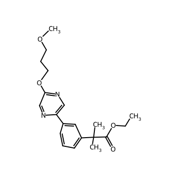 CCOC(=O)C(C)(C)c1cccc(-c2cnc(OCCCOC)cn2)c1